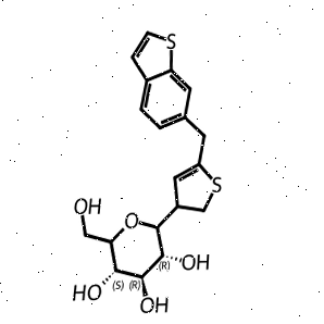 OCC1OC(C2C=C(Cc3ccc4ccsc4c3)SC2)[C@H](O)[C@@H](O)[C@@H]1O